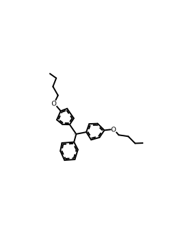 CCCCOc1ccc([C](c2ccccc2)c2ccc(OCCCC)cc2)cc1